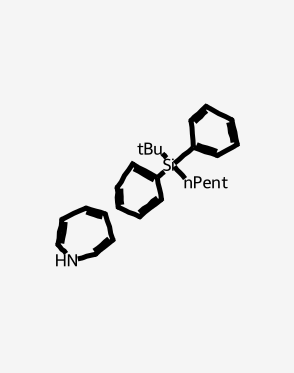 C1=CC=CNC=C1.CCCCC[Si](c1ccccc1)(c1ccccc1)C(C)(C)C